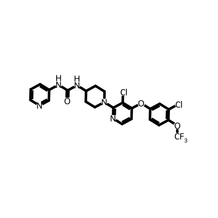 O=C(Nc1cccnc1)NC1CCN(c2nccc(Oc3ccc(OC(F)(F)F)c(Cl)c3)c2Cl)CC1